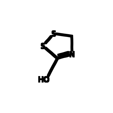 OC1=NCSS1